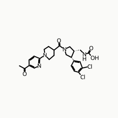 CC(=O)c1ccc(N2CCC(C(=O)N3C[C@H](CNC(=O)O)[C@H](c4ccc(Cl)c(Cl)c4)C3)CC2)nc1